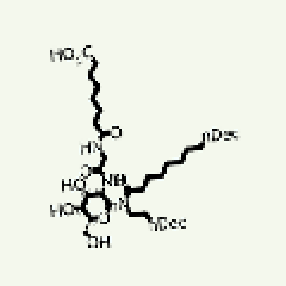 CCCCCCCCCCCCCCCCCC(=O)N(CCCCCCCCCCCC)[C@@H]1O[C@H](CO)[C@@H](O)[C@H](O)[C@@H]1NC(=O)CNC(=O)CCCCCCC(=O)O